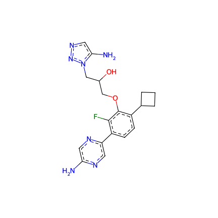 Nc1cnc(-c2ccc(C3CCC3)c(OCC(O)Cn3nncc3N)c2F)cn1